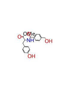 COC(=O)C(Cc1ccc(O)cc1)NC(=O)c1ccc(CO)cc1